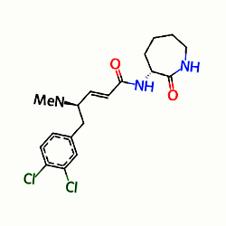 CN[C@@H](/C=C/C(=O)N[C@@H]1CCCCNC1=O)Cc1ccc(Cl)c(Cl)c1